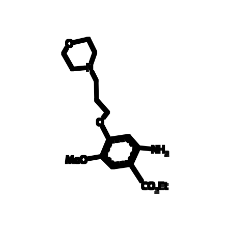 CCOC(=O)c1cc(OC)c(OCCCN2CCOCC2)cc1N